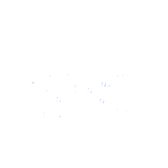 c1ccc(-c2cc(-c3ccccc3)nc(-n3c4ccccc4c4c3ccc3c5ccccc5n(-c5cccc6ccccc56)c34)n2)cc1